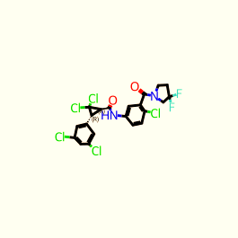 O=C(Nc1ccc(Cl)c(C(=O)N2CCC(F)(F)C2)c1)[C@H]1[C@H](c2cc(Cl)cc(Cl)c2)C1(Cl)Cl